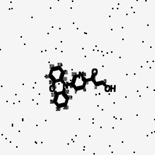 O=C(C=CO)c1ccc(N2c3ccccc3Oc3ccccc32)cn1